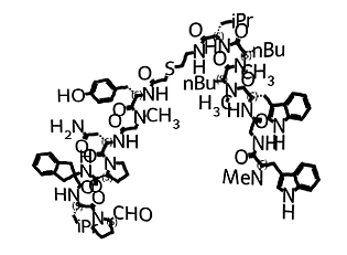 CCCC[C@@H](C(=O)N(C)[C@@H](CCCC)C(=O)N[C@@H](CC(C)C)C(=O)NCCSCC(=O)N[C@@H](Cc1ccc(O)cc1)C(=O)N(C)CC(=O)N[C@@H](CC(N)=O)C(=O)N1CCC[C@H]1C(=O)NC1(C(=O)N[C@@H](CC(C)C)C(=O)N2CCC[C@H]2C=O)Cc2ccccc2C1)N(C)C(=O)[C@H](Cc1c[nH]c2ccccc12)NC(=O)CNC(=O)[C@H](Cc1c[nH]c2ccccc12)NC